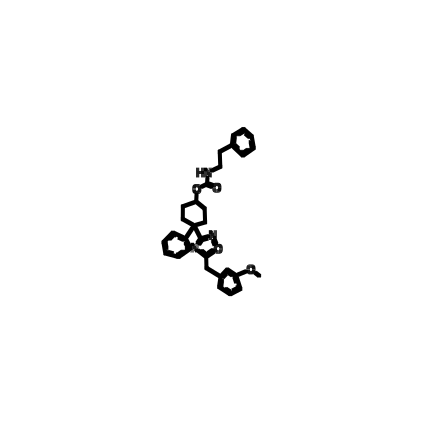 COc1cccc(Cc2nc(C3(c4ccccc4)CCC(OC(=O)NCCc4ccccc4)CC3)no2)c1